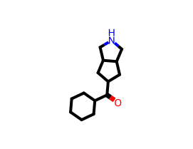 O=C(C1CCCCC1)C1CC2CNCC2C1